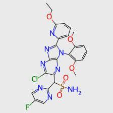 CCOc1cccc(-c2nc3nc(Cl)c(C(c4ncc(F)cn4)S(N)(=O)=O)nc3n2-c2c(OC)cccc2OC)n1